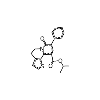 CC(C)OC(=O)c1cc(-c2ccccc2)c(=O)n2c1-c1sccc1CC2